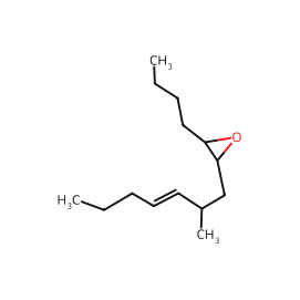 CCC/C=C/C(C)CC1OC1CCCC